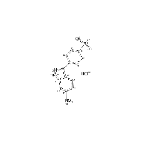 CS(=O)(=O)c1ccc(-c2n[nH]c3cc([N+](=O)[O-])ccc23)cc1.Cl